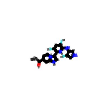 CNC(=O)c1ccn2c(-c3nc(NC4CNCC4F)c(F)cc3F)cnc2c1